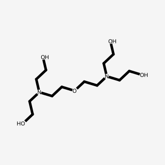 OCCN(CCO)CCOCCN(CCO)CCO